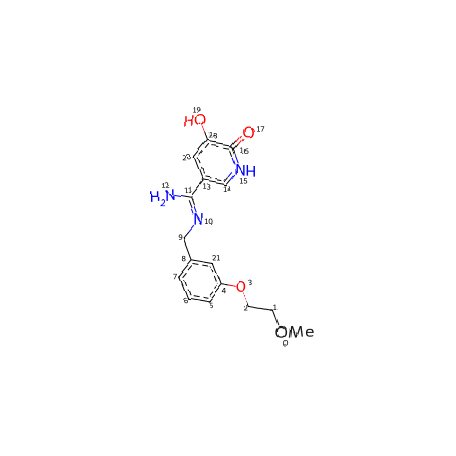 COCCOc1cccc(CN=C(N)c2c[nH]c(=O)c(O)c2)c1